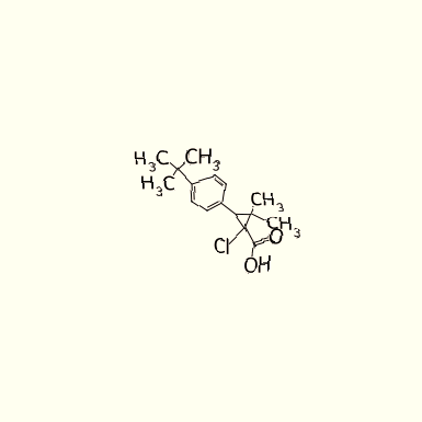 CC(C)(C)c1ccc(C2C(C)(C)C2(Cl)C(=O)O)cc1